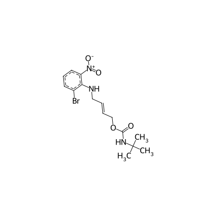 CC(C)(C)NC(=O)OC/C=C/CNc1c(Br)cccc1[N+](=O)[O-]